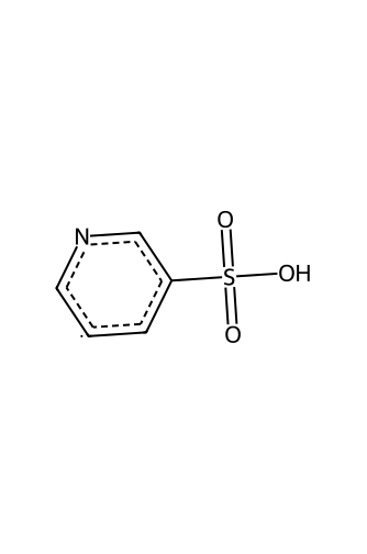 O=S(=O)(O)c1c[c]cnc1